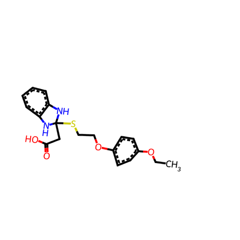 CCOc1ccc(OCCSC2(CC(=O)O)Nc3ccccc3N2)cc1